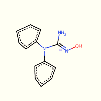 N/C(=N\O)N(c1ccccc1)c1ccccc1